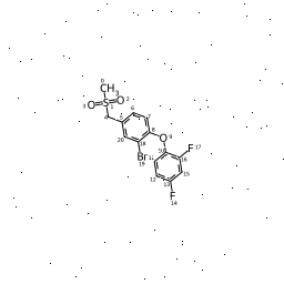 CS(=O)(=O)Cc1ccc(Oc2ccc(F)cc2F)c(Br)c1